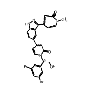 Cn1ccc(-c2n[nH]c3ccc(-c4ccn([C@H](CO)c5cc(F)cc(Br)c5)c(=O)c4)cc23)cc1=O